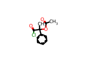 CC(=O)OC(C)(C(=O)Cl)c1ccccc1